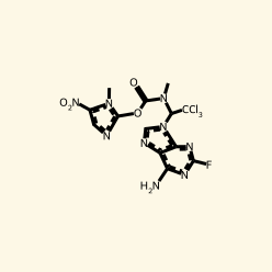 CN(C(=O)Oc1ncc([N+](=O)[O-])n1C)C(n1cnc2c(N)nc(F)nc21)C(Cl)(Cl)Cl